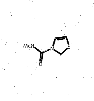 CNC(=O)N1[CH]SC=C1